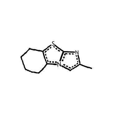 Cc1cn2c3c(sc2n1)CCCC3